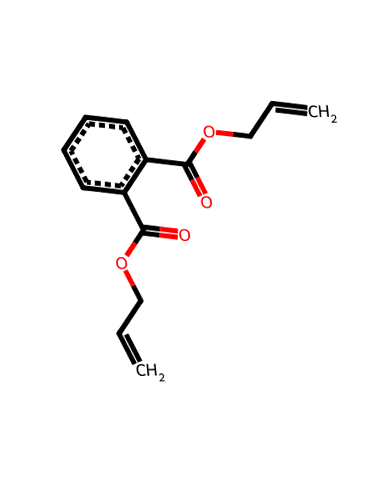 C=CCOC(=O)c1ccccc1C(=O)OCC=C